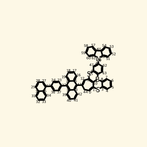 C1=C2Sc3ccccc3B3C2=C(C=C(c2c4ccccc4c(-c4ccc(-c5cccc6ccccc56)cc4)c4ccccc24)C1)Sc1cc(-n2c4ccccc4c4ccccc42)ccc13